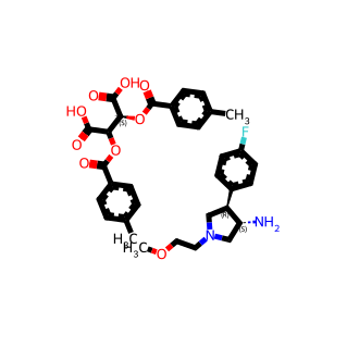 COCCN1C[C@@H](N)[C@H](c2ccc(F)cc2)C1.Cc1ccc(C(=O)OC(C(=O)O)[C@H](OC(=O)c2ccc(C)cc2)C(=O)O)cc1